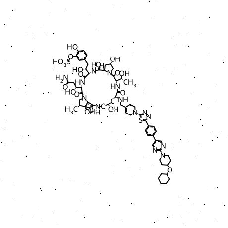 C[C@@H](O)[C@@H]1NC(=O)[C@@H](NCC2=CCN(c3nnc(-c4ccc(-c5cnc(N6CCC(OC7CCCCC7)CC6)nc5)cc4)s3)CC2)C[C@@H](O)CNC(=O)[C@@H]2[C@@H](O)[C@@H](C)CN2C(=O)[C@H]([C@H](O)CC(N)=O)NC(=O)[C@H]([C@H](O)Cc2ccc(O)c(OS(=O)(=O)O)c2)NC(=O)[C@@H]2C[C@@H](O)CN2C1=O